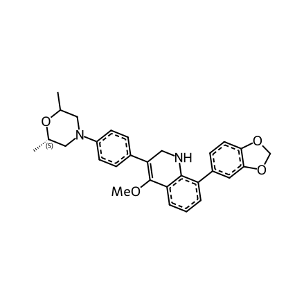 COC1=C(c2ccc(N3CC(C)O[C@@H](C)C3)cc2)CNc2c1cccc2-c1ccc2c(c1)OCO2